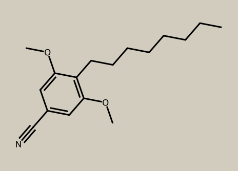 CCCCCCCCc1c(OC)cc(C#N)cc1OC